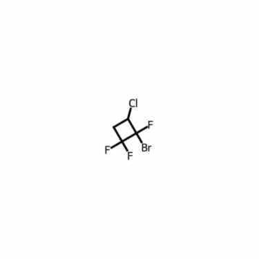 FC1(F)CC(Cl)C1(F)Br